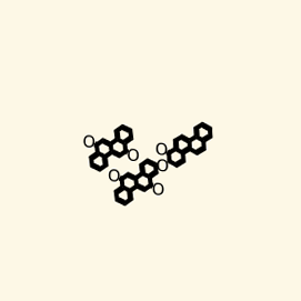 O=C1C=C2C(=CC(=O)c3ccccc32)c2ccccc21.O=C1C=C2C(=CC(=O)c3ccccc32)c2ccccc21.O=C1C=Cc2c(ccc3c2ccc2ccccc23)C1=O